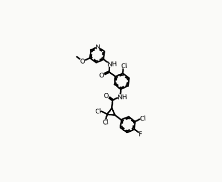 COc1cncc(NC(=O)c2cc(NC(=O)C3C(c4ccc(F)c(Cl)c4)C3(Cl)Cl)ccc2Cl)c1